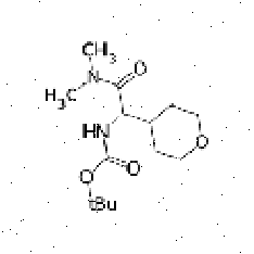 CN(C)C(=O)[C@@H](NC(=O)OC(C)(C)C)C1CCOCC1